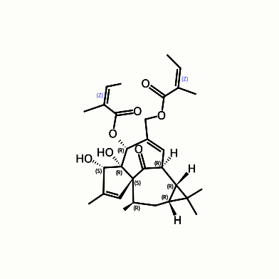 C/C=C(/C)C(=O)OCC1=C[C@@H]2C(=O)[C@]3(C=C(C)[C@H](O)[C@@]3(O)[C@@H]1OC(=O)/C(C)=C\C)[C@H](C)C[C@@H]1[C@H]2C1(C)C